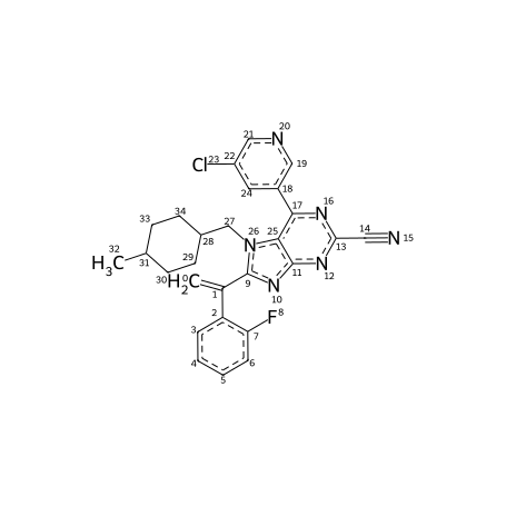 C=C(c1ccccc1F)c1nc2nc(C#N)nc(-c3cncc(Cl)c3)c2n1CC1CCC(C)CC1